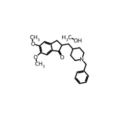 CO.COc1cc2c(cc1OC)C(=O)C(CC1CCN(Cc3ccccc3)CC1)C2